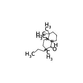 CCC[C@]1(C)CC[C@@]2(C)[C@@H](CCCC2(C)C)C1=O